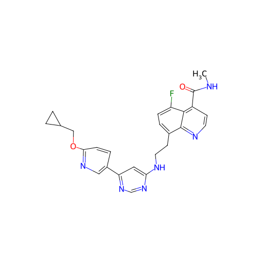 CNC(=O)c1ccnc2c(CCNc3cc(-c4ccc(OCC5CC5)nc4)ncn3)ccc(F)c12